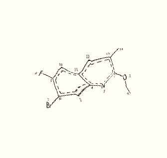 COc1nc2cc(Br)c(F)cc2cc1C